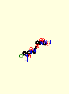 O=C1CCC(N2Cc3c(OCCCN4CCCC4C(=O)N4CCC5(CC4)C(=O)Nc4c(Cl)cccc45)cccc3C2=O)C(=O)N1